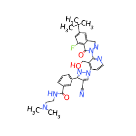 CN(C)CCNC(=O)c1cccc(-c2nn(-c3ccnc(-n4ncc5cc(C(C)(C)C)cc(F)c5c4=O)c3CO)cc2C#N)c1